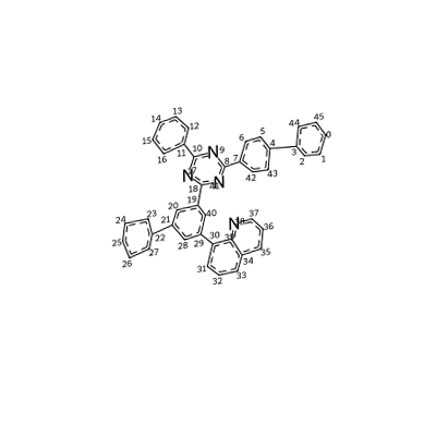 c1ccc(-c2ccc(-c3nc(-c4ccccc4)nc(-c4cc(-c5ccccc5)cc(-c5cccc6cccnc56)c4)n3)cc2)cc1